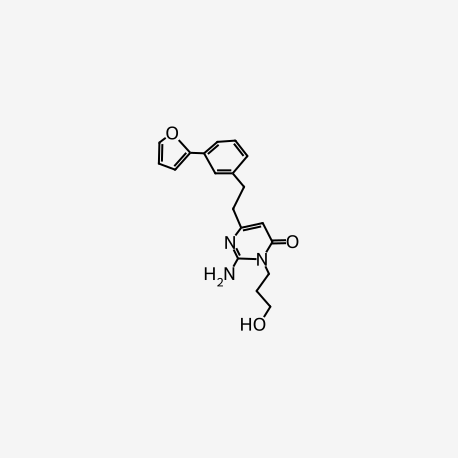 Nc1nc(CCc2cccc(-c3ccco3)c2)cc(=O)n1CCCO